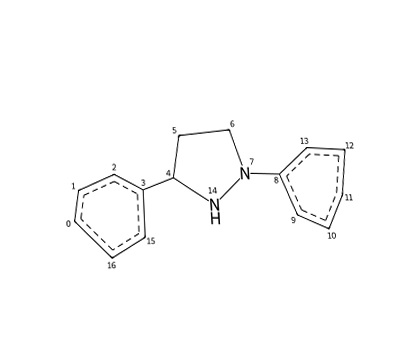 c1ccc(C2CCN(c3ccccc3)N2)cc1